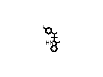 Cc1c(C(C)(C)C(C)c2ccc(I)cc2)[nH]c2ccccc12